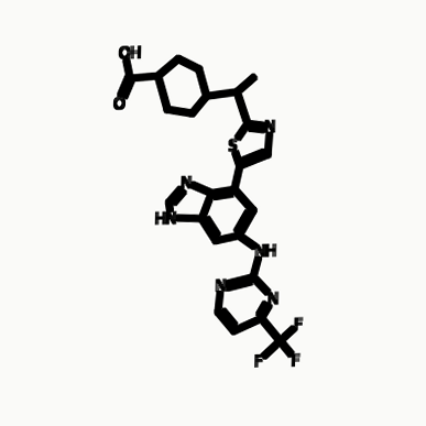 CC(c1ncc(-c2cc(Nc3nccc(C(F)(F)F)n3)cc3[nH]cnc23)s1)C1CCC(C(=O)O)CC1